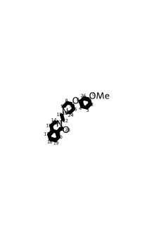 COc1cccc(OC2CCN(CCN3CCc4ccccc4C3=O)CC2)c1